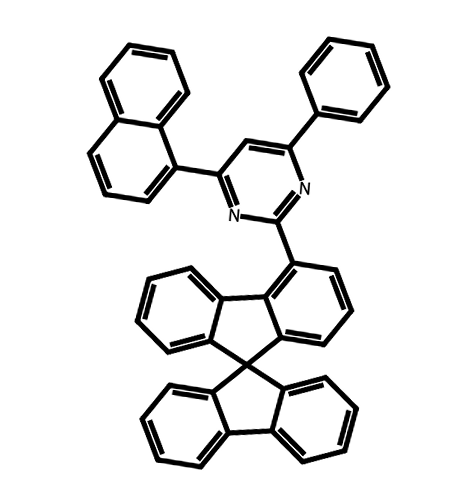 c1ccc(-c2cc(-c3cccc4ccccc34)nc(-c3cccc4c3-c3ccccc3C43c4ccccc4-c4ccccc43)n2)cc1